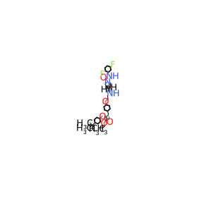 CCOC(=O)[C@H](Cc1ccc(OCCN[C@H]2[C@@H]3CN(C(=O)Nc4cc(F)ccc4F)C[C@@H]32)cc1)Oc1ccc(C(C)(C)C)cc1